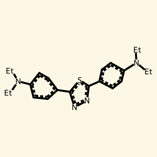 CCN(CC)c1ccc(-c2nnc(-c3ccc(N(CC)CC)cc3)s2)cc1